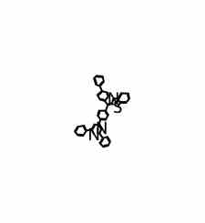 c1ccc(-c2ccc3c(-c4ccc(-c5cc(-c6ccccc6)nc(-c6ccccc6)n5)cc4)c4sc5ccccc5n4c3c2)cc1